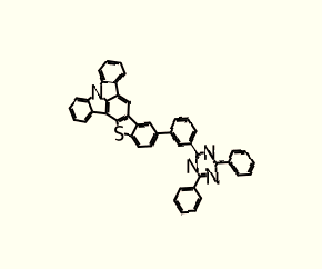 c1ccc(-c2nc(-c3ccccc3)nc(-c3cccc(-c4ccc5sc6c(cc7c8ccccc8n8c9ccccc9c6c78)c5c4)c3)n2)cc1